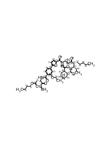 BOC(=O)[C@H](CC(=O)OCCCC)NC(=O)c1ccc(-c2ccc(C(=O)NCNC(=O)[C@H](CCCCC)[C@@H](CC)N(C=O)OC(=O)C3CCNCC3)o2)cc1OCC